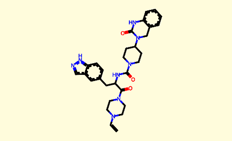 C=CN1CCN(C(=O)C(Cc2ccc3[nH]ncc3c2)NC(=O)N2CCC(N3Cc4ccccc4NC3=O)CC2)CC1